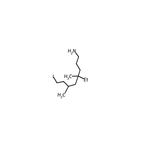 CCC(C)(CCCN)CC(C)CCI